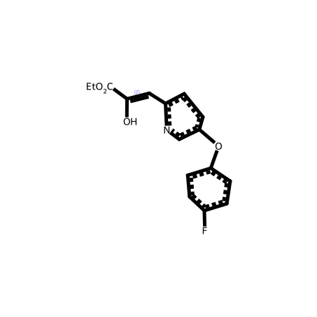 CCOC(=O)/C(O)=C/c1ccc(Oc2ccc(F)cc2)cn1